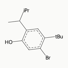 CC(C)C(C)c1cc(C(C)(C)C)c(Br)cc1O